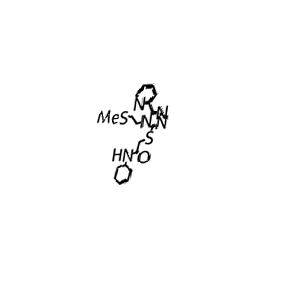 CSCCn1c(SCC(=O)NC2C=CC=CC2)nnc1-c1ccccn1